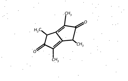 CC1=C2C(=C(C)C(=O)C2C)C(C)C1=O